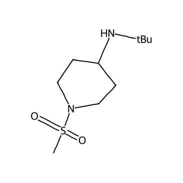 CC(C)(C)NC1CCN(S(C)(=O)=O)CC1